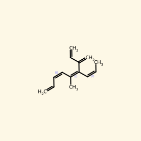 C=C\C=C/C(C)=C(/C=C\C)C(=C)C=C